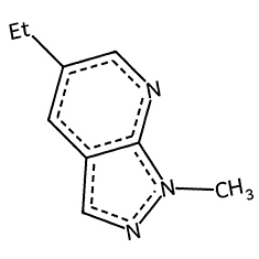 CCc1cnc2c(cnn2C)c1